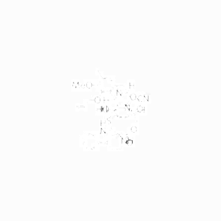 C=CCOc1c(OC)c(C)cc2c1[C@@H]1C3[C@@H]4SC[C@]5(NCCc6c5[nH]c5ccccc65)C(=O)OC[C@@H](c5c6c(c(C)c(O)c54)OCO6)N3[C@@H](C#N)[C@H](C2)N1C